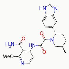 COc1nccc(NC(=O)C(=O)N2C[C@H](C)CC[C@H]2c2ccc3[nH]cnc3c2)c1C(N)=O